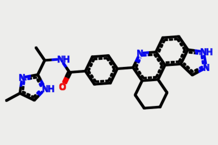 Cc1c[nH]c(C(C)NC(=O)c2ccc(-c3nc4ccc5[nH]ncc5c4c4c3CCCC4)cc2)n1